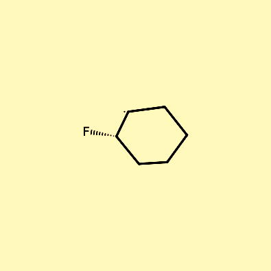 F[C@@H]1[CH]CCCC1